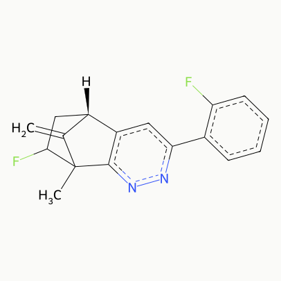 C=C1[C@@H]2CC(F)C1(C)c1nnc(-c3ccccc3F)cc12